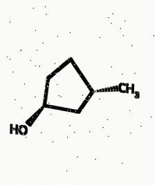 C[C@H]1CC[C@H](O)C1